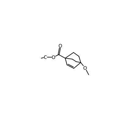 CCOC(=O)C12C=CC(OC)(CC1)CC2